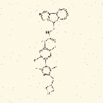 Cc1nn(CC2COC2)c(C)c1-c1cc(F)c(NC(=O)NCC2c3ccccc3-c3cncn32)cc1F